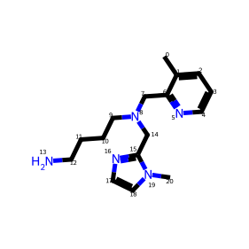 Cc1cccnc1CN(CCCCN)Cc1nccn1C